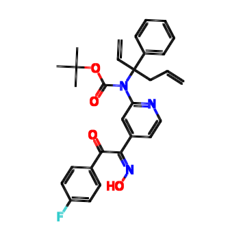 C=CCC(C=C)(c1ccccc1)N(C(=O)OC(C)(C)C)c1cc(C(=NO)C(=O)c2ccc(F)cc2)ccn1